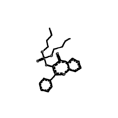 CCCCOP(=O)(OCCCC)Oc1c(-c2ccccc2)oc2ccccc2c1=O